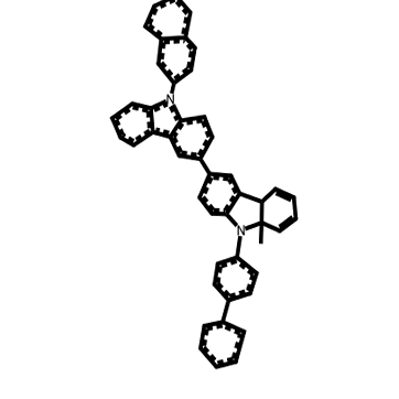 CC12C=CC=CC1c1cc(-c3ccc4c(c3)c3ccccc3n4-c3ccc4ccccc4c3)ccc1N2c1ccc(-c2ccccc2)cc1